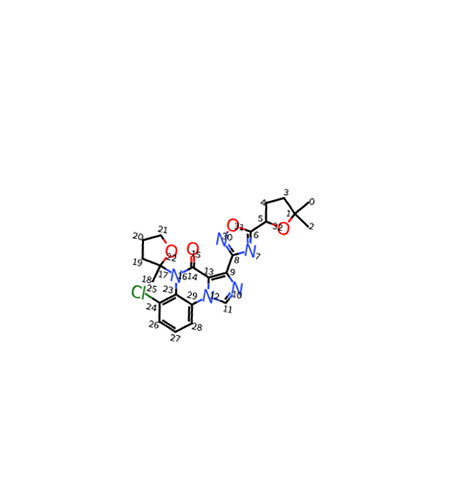 CC1(C)CCC(c2nc(-c3ncn4c3c(=O)n(C3(C)CCCO3)c3c(Cl)cccc34)no2)O1